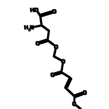 COC(=O)/C=C/C(=O)OCOC(=O)CC(N)C(=O)O